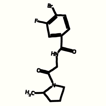 CC1CCCN1C(=O)CNC(=O)c1ccc(Br)c(F)c1